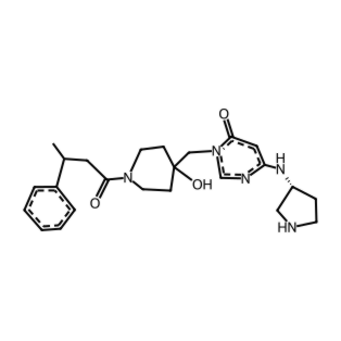 CC(CC(=O)N1CCC(O)(Cn2cnc(N[C@@H]3CCNC3)cc2=O)CC1)c1ccccc1